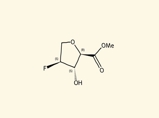 COC(=O)[C@@H]1OC[C@H](F)[C@H]1O